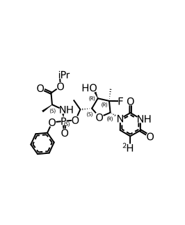 [2H]c1cn([C@@H]2O[C@H](C(C)O[P@@](=O)(N[C@@H](C)C(=O)OC(C)C)Oc3ccccc3)[C@@H](O)[C@@]2(C)F)c(=O)[nH]c1=O